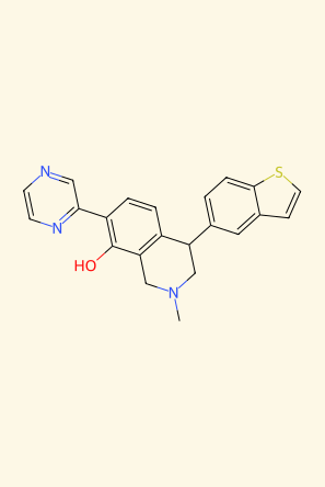 CN1Cc2c(ccc(-c3cnccn3)c2O)C(c2ccc3sccc3c2)C1